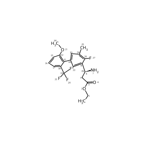 CCOC(=O)C[C@H](N)c1cc(-c2c(OC)cccc2C(F)(F)F)cc(C)c1F